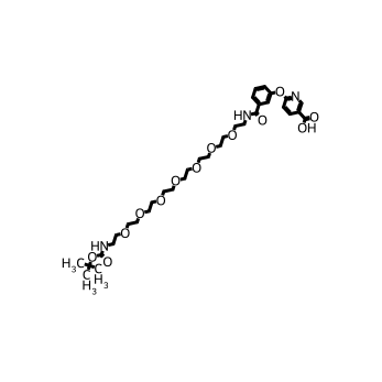 CC(C)(C)OC(=O)NCCOCCOCCOCCOCCOCCOCCOCCNC(=O)c1cccc(Oc2ccc(C(=O)O)cn2)c1